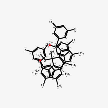 CCc1cc(CC)cc([C@@H](C)c2cc(C)cc([C@H](C)c3cc(CC)cc(CC)c3)c2C(N)(CN)c2c([C@H](C)c3cc(CC)cc(CC)c3)cc(C)cc2[C@H](C)c2cc(CC)cc(CC)c2)c1